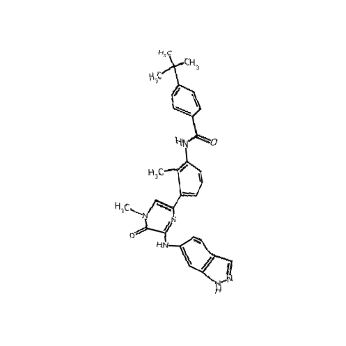 Cc1c(NC(=O)c2ccc(C(C)(C)C)cc2)cccc1-c1cn(C)c(=O)c(Nc2ccc3cn[nH]c3c2)n1